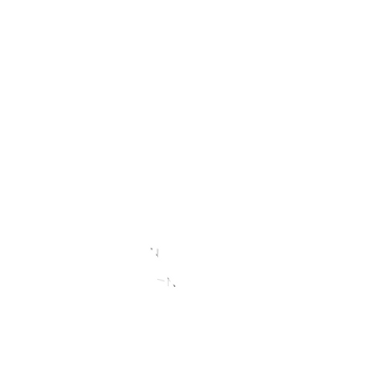 CCCCC1=NNCC1